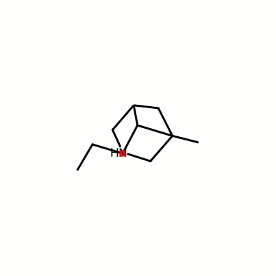 CCCC1C2CNCC1(C)C2